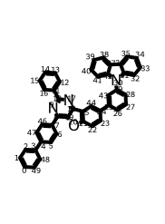 c1ccc(-c2ccc(-c3nc(-c4ccccc4)nc4c3oc3ccc(-c5cccc(-n6c7ccccc7c7ccccc76)c5)cc34)cc2)cc1